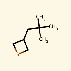 CC(C)(C)CC1CSC1